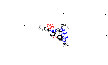 Cc1cc(Nc2cc(O[C@H]3CC[C@@H](NC[C@@H](O)C(F)(F)F)CC3)cc3c2NCN3C)nn1C